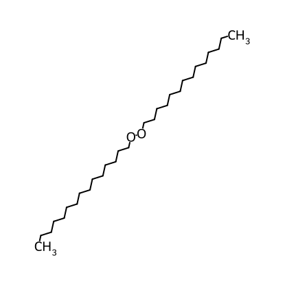 CCCCCCCCCCCCCCCOOCCCCCCCCCCCCCC